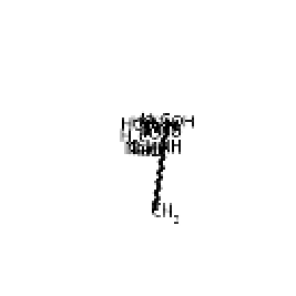 CCCCCCCCCCCC(=O)NCCN(C(C)OC(C)C(=O)O)C(C)C(=O)O.[NaH].[NaH]